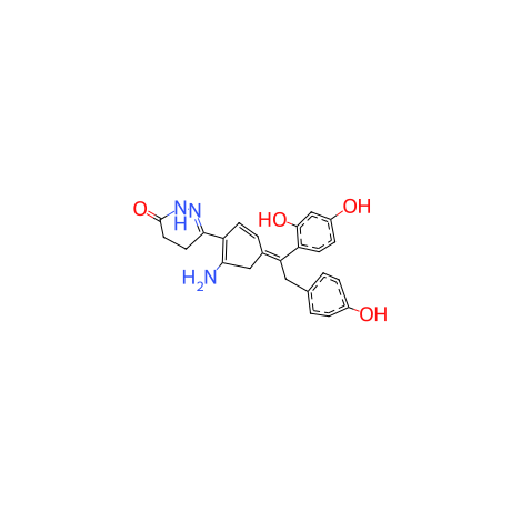 NC1=C(C2=NNC(=O)CC2)C=CC(=C(Cc2ccc(O)cc2)c2ccc(O)cc2O)C1